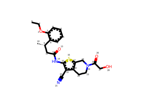 CCOc1ccccc1[C@@H](C)CC(=O)Nc1sc2c(c1C#N)CCN(C(=O)CO)C2